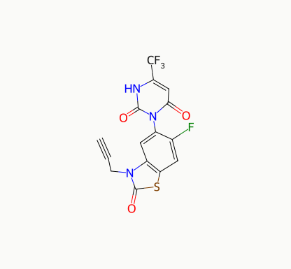 C#CCn1c(=O)sc2cc(F)c(-n3c(=O)cc(C(F)(F)F)[nH]c3=O)cc21